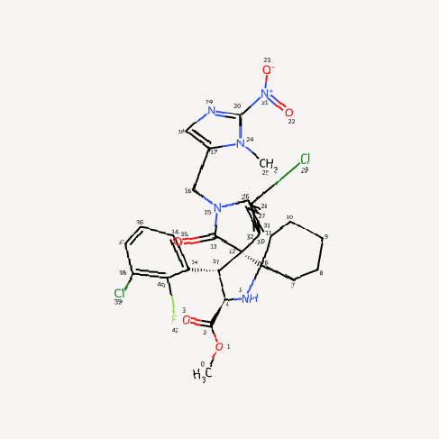 COC(=O)[C@@H]1NC2(CCCCC2)[C@@]2(C(=O)N(Cc3cnc([N+](=O)[O-])n3C)c3cc(Cl)ccc32)[C@H]1c1cccc(Cl)c1F